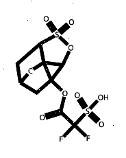 O=C(OC12CC3CC4C1(C3)C2OS4(=O)=O)C(F)(F)S(=O)(=O)O